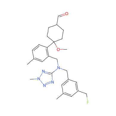 COC1(c2ccc(C)cc2CN(Cc2cc(C)cc(CF)c2)c2nnn(C)n2)CCC(C=O)CC1